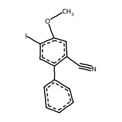 COc1cc(C#N)c(-c2ccccc2)cc1I